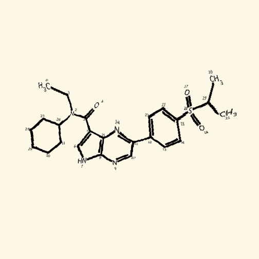 CCN(C(=O)c1c[nH]c2ncc(-c3ccc(S(=O)(=O)C(C)C)cc3)nc12)C1CCCCC1